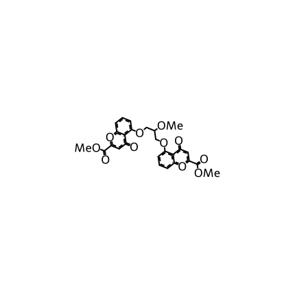 COC(=O)c1cc(=O)c2c(OCC(COc3cccc4oc(C(=O)OC)cc(=O)c34)OC)cccc2o1